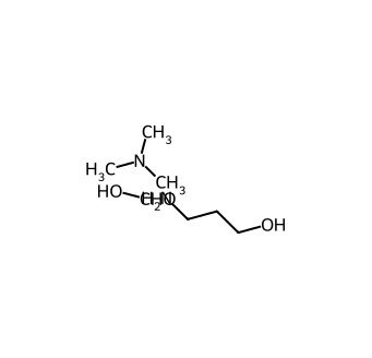 CN(C)C.NCCCO.O=CO